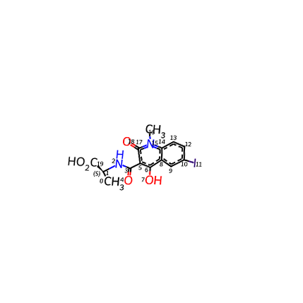 C[C@H](NC(=O)c1c(O)c2cc(I)ccc2n(C)c1=O)C(=O)O